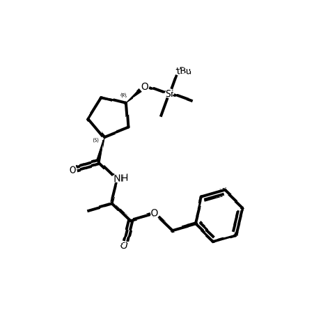 CC(NC(=O)[C@H]1CC[C@@H](O[Si](C)(C)C(C)(C)C)C1)C(=O)OCc1ccccc1